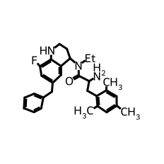 CCN(C(=O)C(N)Cc1c(C)cc(C)cc1C)C1CCNc2c(F)cc(Cc3ccccc3)cc21